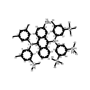 Cc1cc(C)cc(N(c2cc(C)cc([SiH](C)C)c2)c2c3ccccc3c(N(c3cc(C)cc([Si](C)(C)C)c3)c3cc([SiH](C)C)cc([Si](C)(C)C)c3)c3cc(C(C)(C)C)ccc23)c1